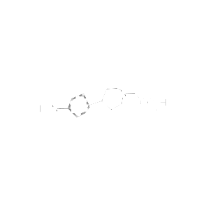 Nc1ccc(C2CCN(CC(=O)O)CC2)cc1